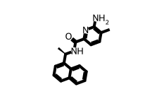 Cc1ccc(C(=O)N[C@H](C)c2cccc3ccccc23)nc1N